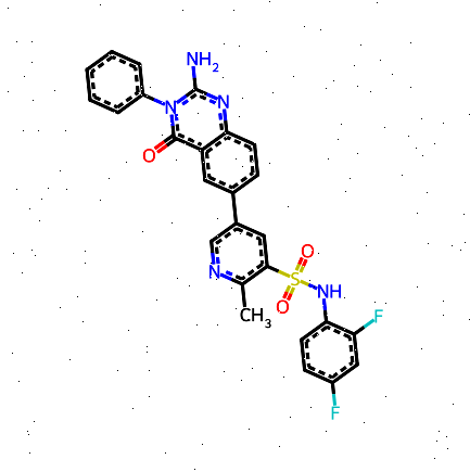 Cc1ncc(-c2ccc3nc(N)n(-c4ccccc4)c(=O)c3c2)cc1S(=O)(=O)Nc1ccc(F)cc1F